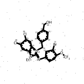 CCn1/c(=N/c2ccc(OC(F)(F)F)c(Br)c2)n(Cc2ccc(CO)cc2)c2cc(Cl)c(Cl)cc21